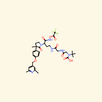 Cc1cc(COc2ccc(C3(C)CCN(C(CCNC(=O)CNC(=O)CN(C(=O)O)C(C)(C)C)C(=O)NOC(=O)C(F)(F)F)C3=O)cc2)cc(C)n1